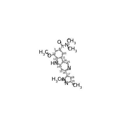 COc1cc(C(=O)N(C)C)cc2c1[nH]c1cc(-c3cc(C)nn3C)ncc12